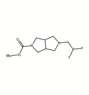 CC(C)(C)OC(=O)N1CC2CN(CB(F)F)CC2C1